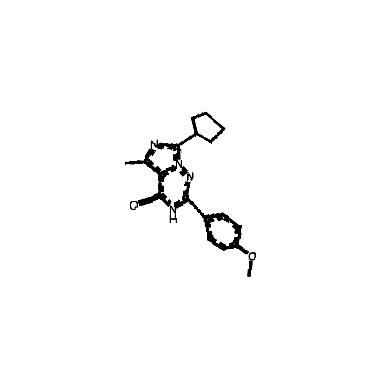 COc1ccc(-c2nn3c(C4CCCC4)nc(C)c3c(=O)[nH]2)cc1